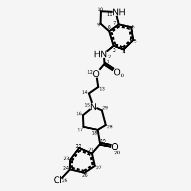 O=C(Nc1cccc2c1CCN2)OCCN1CCC(C(=O)c2ccc(Cl)cc2)CC1